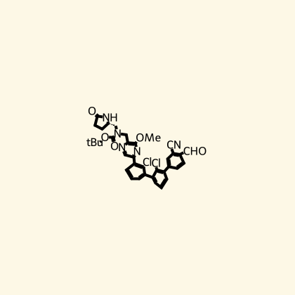 COc1nc(-c2cccc(-c3cccc(-c4ccc(C=O)c(C#N)c4)c3Cl)c2Cl)cnc1CN(C[C@@H]1CCC(=O)N1)C(=O)OC(C)(C)C